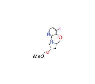 COCOC1CC2COc3c(I)ccnc3N2C1